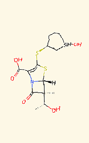 C[C@@H](O)[C@@]1(C)C(=O)N2C(C(=O)O)=C(S[C@H]3CC[SiH](O)C3)S[C@@H]21